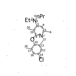 CCCN(CC)c1cc(C)nc(Oc2c(C)cc(Cl)cc2C)c1C